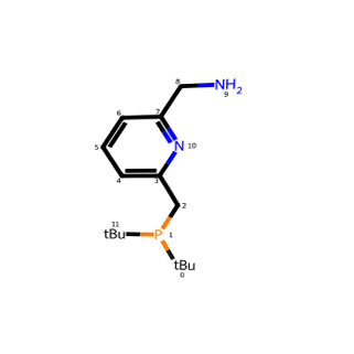 CC(C)(C)P(Cc1cccc(CN)n1)C(C)(C)C